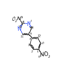 O=[N+]([O-])c1ccc(-c2cnc([N+](=O)[O-])nc2)cc1